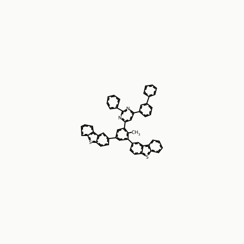 Cc1c(-c2ccc3sc4ccccc4c3c2)cc(-c2ccc3sc4ccccc4c3c2)cc1-c1cc(-c2cccc(-c3ccccc3)c2)nc(-c2ccccc2)n1